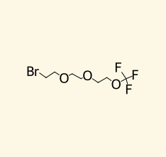 FC(F)(F)OCCOCCOCCBr